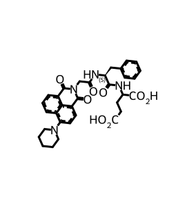 O=C(O)CCC(NC(=O)[C@H](Cc1ccccc1)NC(=O)CN1C(=O)c2cccc3c(N4CCCCC4)ccc(c23)C1=O)C(=O)O